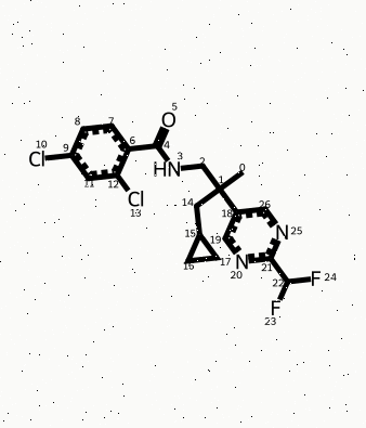 CC(CNC(=O)c1ccc(Cl)cc1Cl)(CC1CC1)c1cnc(C(F)F)nc1